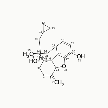 C=C1CC[C@]2(O)[C@]34CCN(CC5CC5)[C@]2(C)CC2C=CC(O)=C(OC13)C24